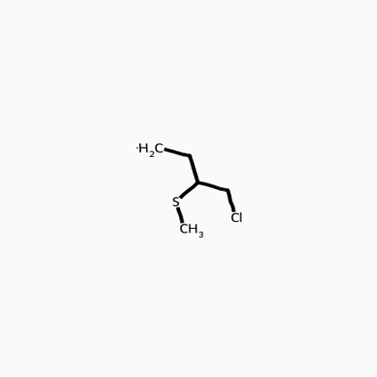 [CH2]CC(CCl)SC